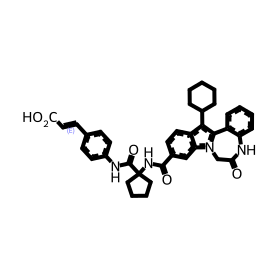 O=C(O)/C=C/c1ccc(NC(=O)C2(NC(=O)c3ccc4c(C5CCCCC5)c5n(c4c3)CC(=O)Nc3ccccc3-5)CCCC2)cc1